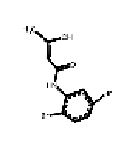 CC(O)=CC(=O)Nc1cc(Br)ccc1Br